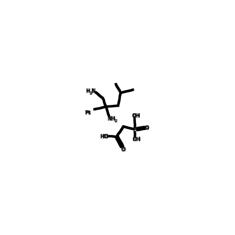 CC(C)CC(C)(N)CN.O=C(O)CP(=O)(O)O.[Pt]